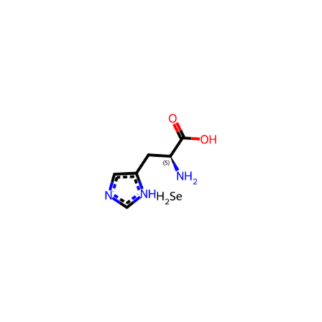 N[C@@H](Cc1cnc[nH]1)C(=O)O.[SeH2]